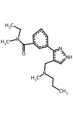 CCCN(C)Cc1c[nH]nc1-c1cccc(C(=O)N(C)CC)c1